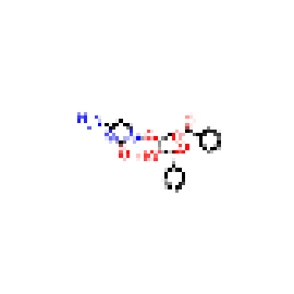 Nc1ccn(COC(COC(=O)c2ccccc2)C(O)C(=O)c2ccccc2)c(=O)n1